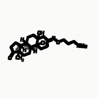 CNCCCON=C1CC[C@]2(C)[C@@H]3CC[C@]4(C)C(=O)CC[C@H]4[C@@H]3CCC2(O)C1